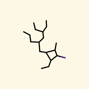 CCCC(CC(CC)CC)CC1C(C)C(I)C1CC